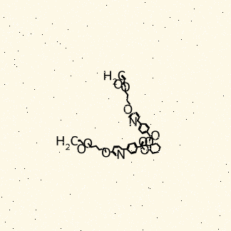 C=CC(=O)OCCCCOc1ccc(-c2ccc(C(=O)O[C@@H]3CCCC[C@H]3OC(=O)c3ccc(-c4ccc(OCCCCOC(=O)C=C)cn4)cc3)cc2)nc1